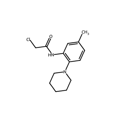 Cc1ccc(N2CCCCC2)c(NC(=O)CCl)c1